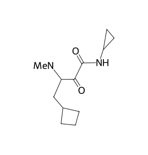 CNC(CC1CCC1)C(=O)C(=O)NC1CC1